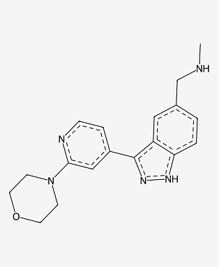 CNCc1ccc2[nH]nc(-c3ccnc(N4CCOCC4)c3)c2c1